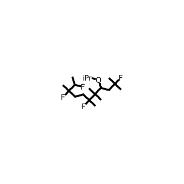 CC(C)OC(CC(C)(C)F)C(C)(C)C(C)(F)CCC(C)(F)C(C)F